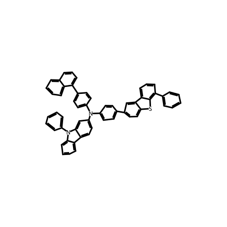 c1ccc(-c2cccc3c2sc2ccc(-c4ccc(N(c5ccc(-c6cccc7ccccc67)cc5)c5ccc6c7ccccc7n(-c7ccccc7)c6c5)cc4)cc23)cc1